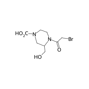 O=C(O)N1CCN(C(=O)CBr)C(CO)C1